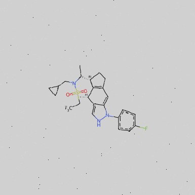 CC([C@@H]1CCC2=C1[C@@H](C)C1=CNN(c3ccc(F)cc3)C1=C2)N(CC1CC1)S(=O)(=O)CC(F)(F)F